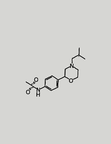 C[C](C)CN1CCOC(c2ccc(NS(C)(=O)=O)cc2)C1